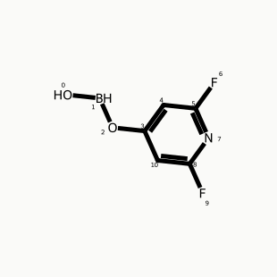 OBOc1cc(F)nc(F)c1